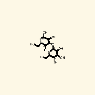 OCC1O[C@H](OC2C(O)[C@H](O)OC(CO)[C@@H]2O)C(O)C(O)[C@H]1O